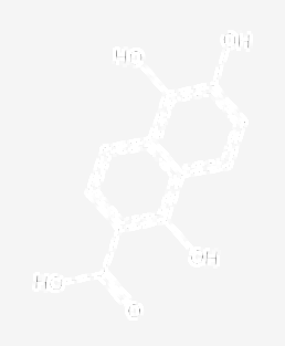 O=C(O)c1ccc2c(O)c(O)ccc2c1O